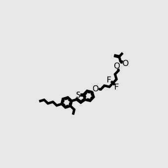 C=C(C)C(=O)OCCCC(F)(F)CCCOc1ccc2cc(-c3ccc(CCCCC)cc3CC)sc2c1